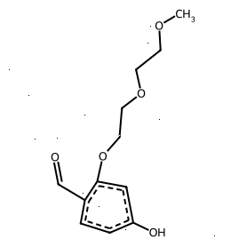 COCCOCCOc1cc(O)ccc1C=O